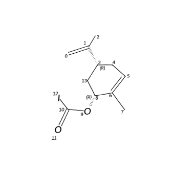 C=C(C)[C@@H]1CC=C(C)[C@H](OC(=O)I)C1